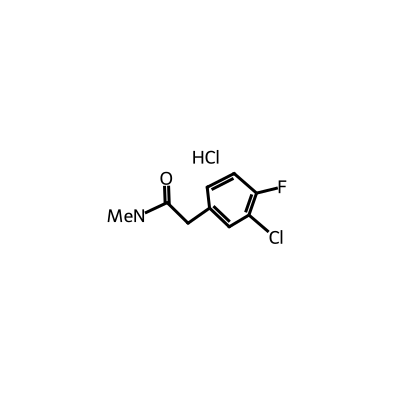 CNC(=O)Cc1ccc(F)c(Cl)c1.Cl